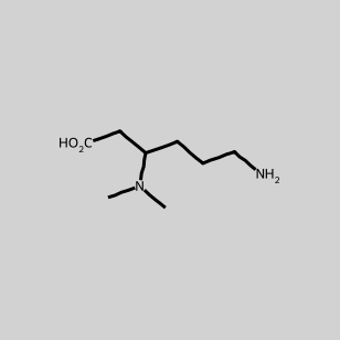 CN(C)C(CCCN)CC(=O)O